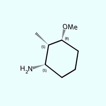 CO[C@@H]1CCC[C@H](N)[C@@H]1C